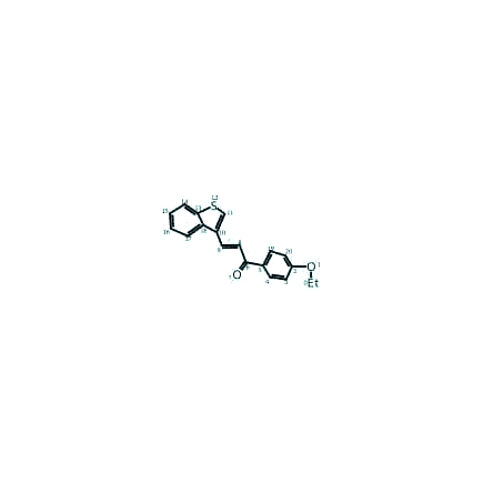 CCOc1ccc(C(=O)/C=C/c2csc3ccccc23)cc1